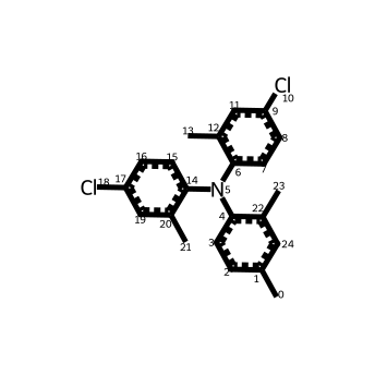 Cc1ccc(N(c2ccc(Cl)cc2C)c2ccc(Cl)cc2C)c(C)c1